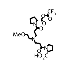 COCCN(CCC(=O)N1CCC[C@@H]1C(=O)O)CCC(=O)N1CCC[C@@H]1C(=O)OC(=O)C(F)(F)F